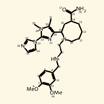 COc1ccc(CNCCN2CCCCC(C(N)=O)CC2c2nc(-n3ccnc3)n(C)c2C)cc1OC